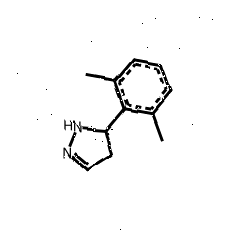 Cc1cccc(C)c1C1CC=NN1